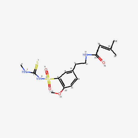 CNC(=S)NS(=O)(=O)c1cc(CCNC(=O)C=C(C)C)ccc1OC